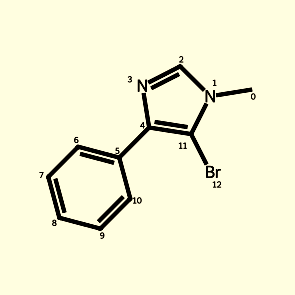 Cn1cnc(-c2ccccc2)c1Br